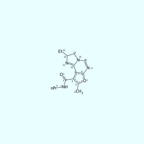 CCCNC(=O)c1c(C)oc2c1C1=NC(CC)CN1C=N2